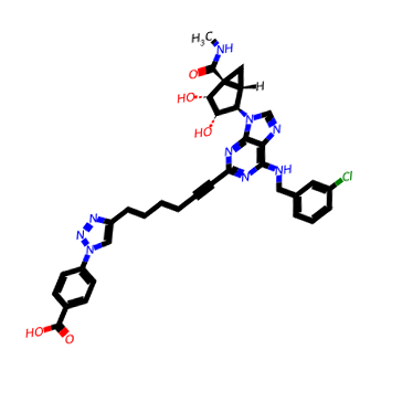 CNC(=O)[C@@]12C[C@@H]1[C@@H](n1cnc3c(NCc4cccc(Cl)c4)nc(C#CCCCCc4cn(-c5ccc(C(=O)O)cc5)nn4)nc31)[C@H](O)[C@@H]2O